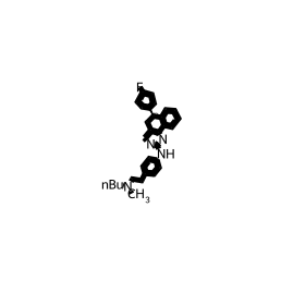 CCCCN(C)CCc1ccc(Nc2ncc3c(n2)-c2ccccc2[C@H](c2ccc(F)cc2)C3)cc1